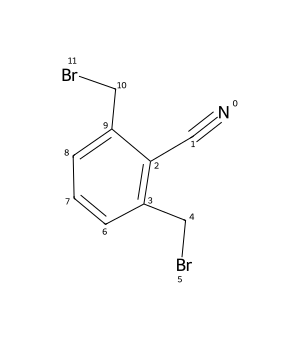 N#Cc1c(CBr)cccc1CBr